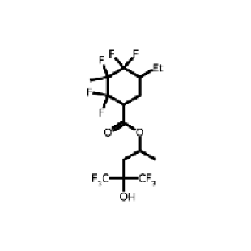 CCC1CC(C(=O)OC(C)CC(O)(C(F)(F)F)C(F)(F)F)C(F)(F)C(C)(F)C1(F)F